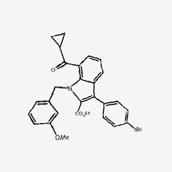 CCOC(=O)c1c(-c2ccc(C(C)(C)C)cc2)c2cccc(C(=O)C3CC3)c2n1Cc1cccc(OC)c1